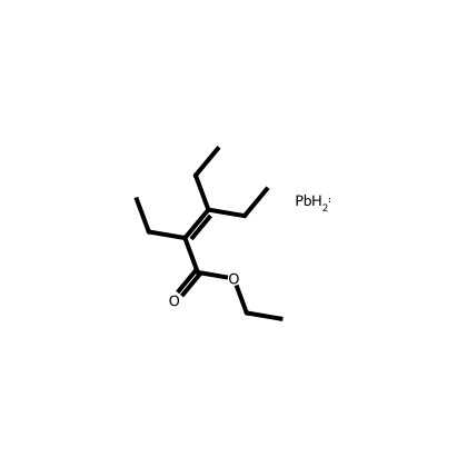 CCOC(=O)C(CC)=C(CC)CC.[PbH2]